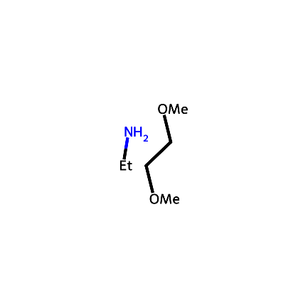 CCN.COCCOC